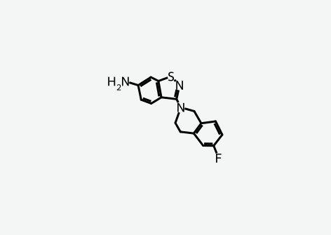 Nc1ccc2c(N3CCc4cc(F)ccc4C3)nsc2c1